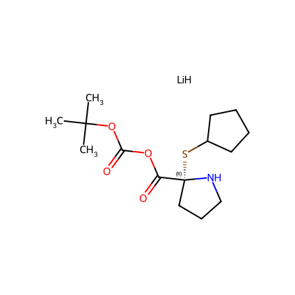 CC(C)(C)OC(=O)OC(=O)[C@]1(SC2CCCC2)CCCN1.[LiH]